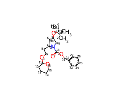 CC(C)(C)[Si](C)(C)O[C@@H]1C[C@H](CCOC2CCCCO2)N(C(=O)OCc2ccccc2)C1